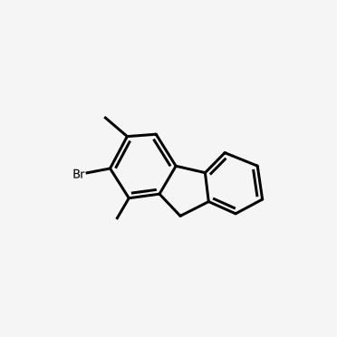 Cc1cc2c(c(C)c1Br)Cc1ccccc1-2